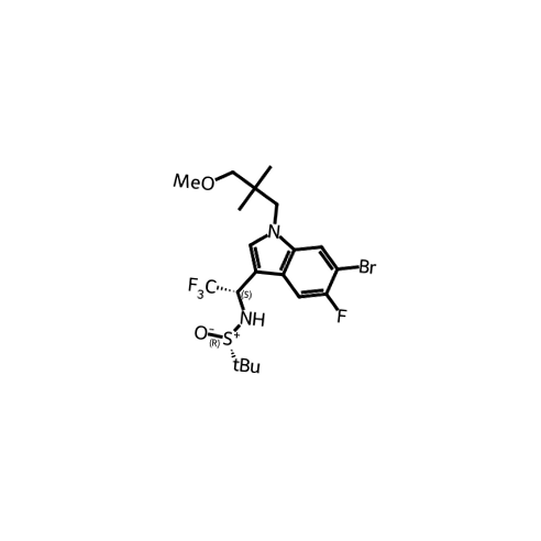 COCC(C)(C)Cn1cc([C@H](N[S@@+]([O-])C(C)(C)C)C(F)(F)F)c2cc(F)c(Br)cc21